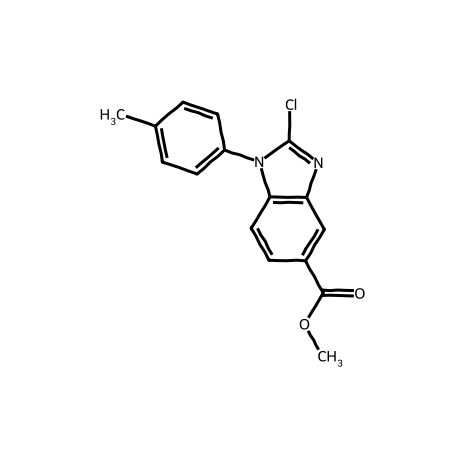 COC(=O)c1ccc2c(c1)nc(Cl)n2-c1ccc(C)cc1